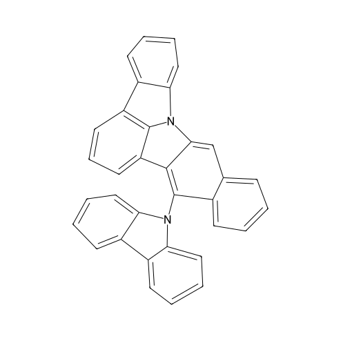 c1ccc2c(-n3c4ccccc4c4ccccc43)c3c4cccc5c6ccccc6n(c3cc2c1)c54